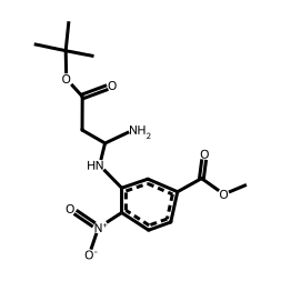 COC(=O)c1ccc([N+](=O)[O-])c(NC(N)CC(=O)OC(C)(C)C)c1